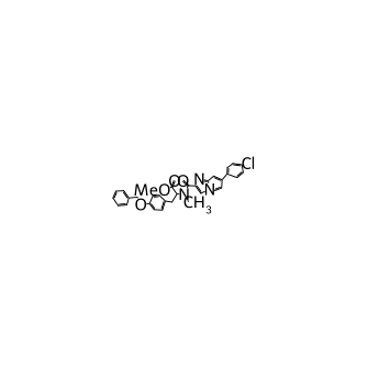 COC(=O)C(Cc1ccc(OCc2ccccc2)cc1)N(C)C(=O)c1cn2ccc(-c3ccc(Cl)cc3)cc2n1